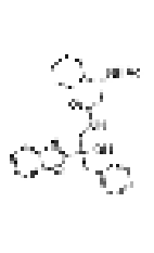 CC(=O)NC(CC(=O)NCC(O)(Cc1ccccc1)c1nc2ccccc2o1)C1CCCCC1